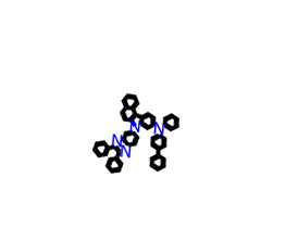 c1ccc(-c2ccc(N(c3ccccc3)c3ccc4c5c6ccccc6ccc5n(-c5ccc6nc(-c7ccccc7)c(-c7ccccc7)nc6c5)c4c3)cc2)cc1